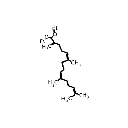 C=C(CCC=C(C)CCC=C(C)CCC=C(C)C)C(OCC)OCC